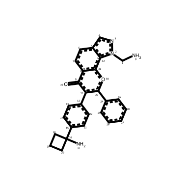 NCn1ncc2ccc3c(=O)c(-c4ccc(C5(N)CCC5)cc4)c(-c4ccccc4)oc3c21